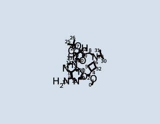 COC(=O)[C@H]1C[C@H](N(C[C@H]2O[C@@H](n3cnc4c(N)ncnc43)[C@@H]3OC(C)(C)O[C@@H]32)C(C)C)C1